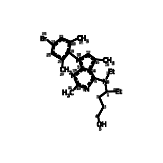 CCC(CCCO)N(CC)c1nc(C)nc2c1c(C)cn2-c1c(C)cc(Br)cc1C